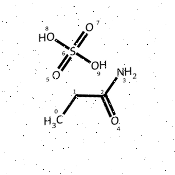 CCC(N)=O.O=S(=O)(O)O